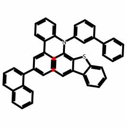 c1ccc(-c2cccc(N(c3ccccc3-c3cccc(-c4cccc5ccccc45)c3)c3cccc4c3sc3ccccc34)c2)cc1